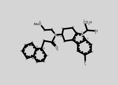 CCC(C(=O)O)n1c2c(c3cc(F)ccc31)CC(N(CCOC)C(=O)Cc1cccc3ccccc13)CC2